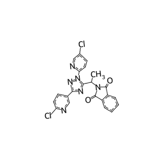 CC(c1nc(-c2ccc(Cl)nc2)nn1-c1ccc(Cl)cn1)N1C(=O)c2ccccc2C1=O